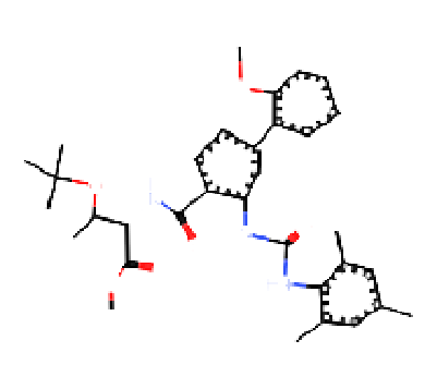 COC(=O)[C@@H](NC(=O)c1ccc(-c2ccccc2OC)cc1NC(=O)Nc1c(C)cc(C)cc1C)C(C)OC(C)(C)C